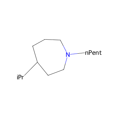 CCCCCN1CCCC(C(C)C)CC1